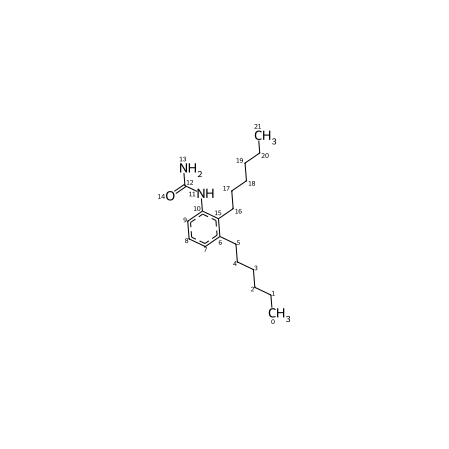 CCCCCCc1cccc(NC(N)=O)c1CCCCCC